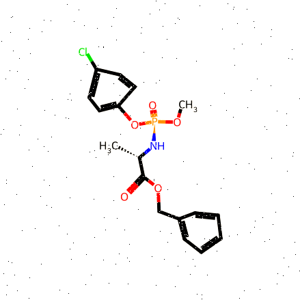 CO[P@](=O)(N[C@@H](C)C(=O)OCc1ccccc1)Oc1ccc(Cl)cc1